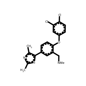 CNCc1cc(-c2sc(C)nc2C)ccc1Oc1ccc(Cl)c(Cl)c1